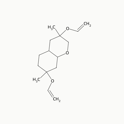 C=COC1(C)COC2CC(C)(OC=C)CCC2C1